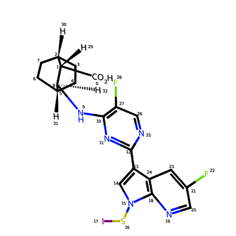 O=C(O)[C@H]1[C@H]2CC[C@H](CC2)[C@@H]1Nc1nc(-c2cn(SI)c3ncc(F)cc23)ncc1F